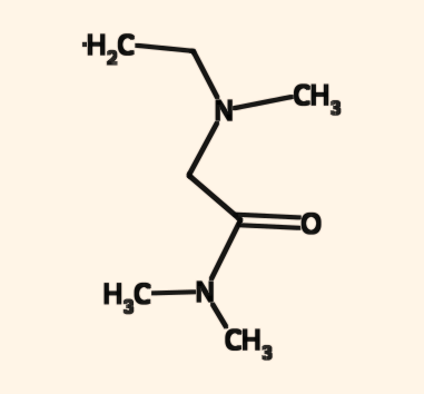 [CH2]CN(C)CC(=O)N(C)C